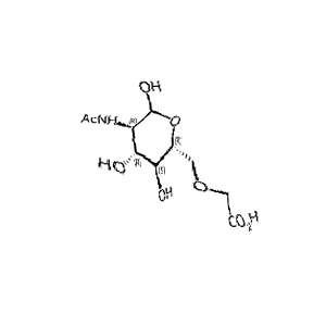 CC(=O)N[C@H]1C(O)O[C@H](COCC(=O)O)[C@@H](O)[C@@H]1O